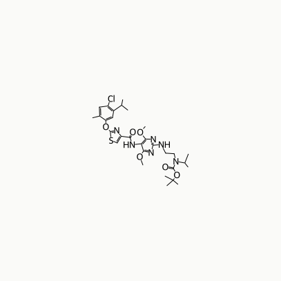 COc1nc(NCCN(C(=O)OC(C)(C)C)C(C)C)nc(OC)c1NC(=O)c1csc(Oc2cc(C(C)C)c(Cl)cc2C)n1